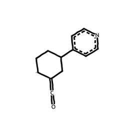 O=C=C1[CH]CCC(c2ccncc2)C1